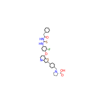 O=C(Cc1ccccc1)NC(=S)Nc1ccc(Oc2ccnc3cc(-c4ccc(CN5CCC[C@H]5C(=O)O)cc4)sc23)c(F)c1